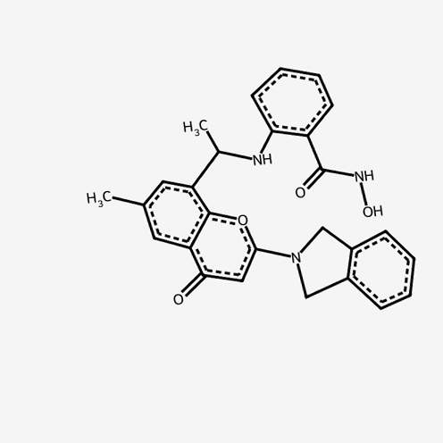 Cc1cc(C(C)Nc2ccccc2C(=O)NO)c2oc(N3Cc4ccccc4C3)cc(=O)c2c1